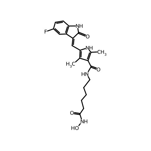 Cc1[nH]c(C=C2C(=O)Nc3ccc(F)cc32)c(C)c1C(=O)NCCCCCC(=O)NO